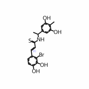 Cc1c(O)cc(C(C)NC(=S)/C=C/c2ccc(O)c(O)c2Br)cc1O